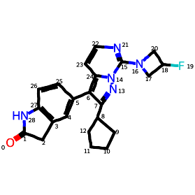 O=C1Cc2cc(-c3c(C4CCCC4)nn4c(N5CC(F)C5)nccc34)ccc2N1